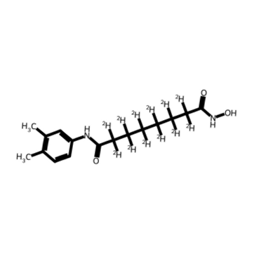 [2H]C([2H])(C(=O)NO)C([2H])([2H])C([2H])([2H])C([2H])([2H])C([2H])([2H])C([2H])([2H])C(=O)Nc1ccc(C)c(C)c1